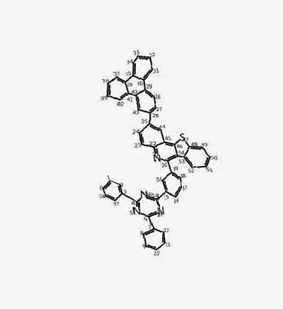 c1ccc(-c2nc(-c3ccccc3)nc(-c3cccc(-c4nc5ccc(-c6ccc7c8ccccc8c8ccccc8c7c6)cc5c5sc6ccccc6c45)c3)n2)cc1